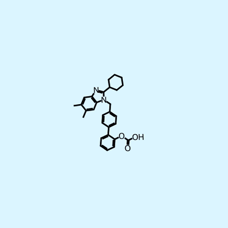 Cc1cc2nc(C3CCCCC3)n(Cc3ccc(-c4ccccc4OC(=O)O)cc3)c2cc1C